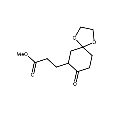 COC(=O)CCC1CC2(CCC1=O)OCCO2